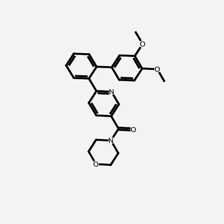 COc1ccc(-c2ccccc2-c2ccc(C(=O)N3CCOCC3)cn2)cc1OC